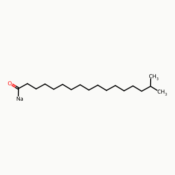 CC(C)CCCCCCCCCCCCCC[C](=O)[Na]